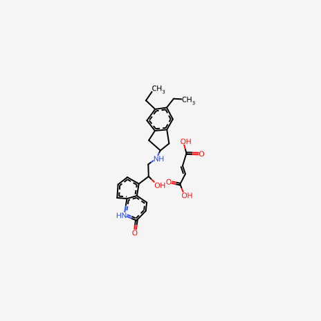 CCc1cc2c(cc1CC)CC(NCC(O)c1cccc3[nH]c(=O)ccc13)C2.O=C(O)C=CC(=O)O